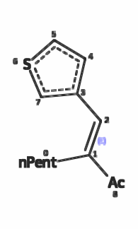 CCCCC/C(=C\c1ccsc1)C(C)=O